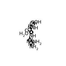 Nc1nc(N)c2nc(CNc3ccc(C(=O)N[C@@H](CC(=O)O)C(=O)O)c(Cl)c3)cnc2n1.O